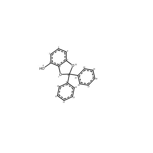 Oc1c[c]cc2c1OC(c1ccccc1)(c1ccccc1)O2